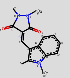 CCCCN1C(=O)/C(=C\c2c(C)n(CCC)c3ccccc23)C(=O)N1C